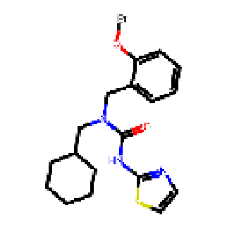 CCOc1ccccc1CN(CC1CCCCC1)C(=O)Nc1nccs1